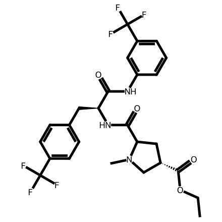 CCOC(=O)[C@H]1CC(C(=O)N[C@@H](Cc2ccc(C(F)(F)F)cc2)C(=O)Nc2cccc(C(F)(F)F)c2)N(C)C1